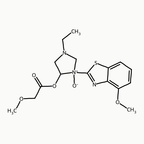 CCN1CC(OC(=O)COC)[N+]([O-])(c2nc3c(OC)cccc3s2)C1